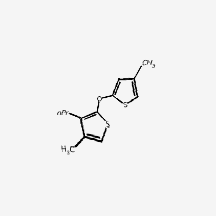 CCCc1c(C)csc1Oc1cc(C)cs1